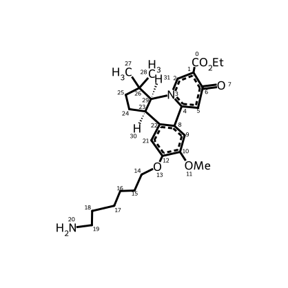 CCOC(=O)c1cn2c(cc1=O)-c1cc(OC)c(OCCCCCCN)cc1[C@H]1CCC(C)(C)[C@H]12